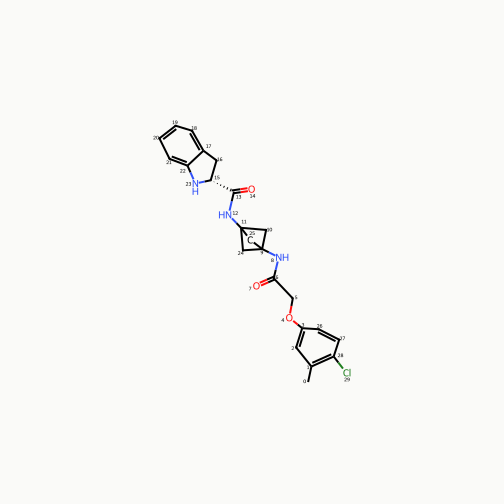 Cc1cc(OCC(=O)NC23CC(NC(=O)[C@H]4Cc5ccccc5N4)(C2)C3)ccc1Cl